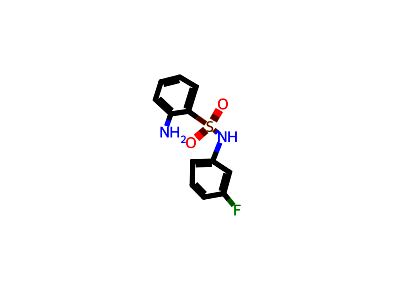 Nc1ccccc1S(=O)(=O)Nc1cccc(F)c1